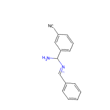 N#Cc1cccc(C(N)/N=C/c2ccccc2)c1